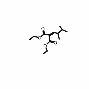 CCOC(=O)C(=CC(C)C(C)C)C(=O)OCC